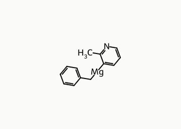 Cc1nccc[c]1[Mg][CH2]c1ccccc1